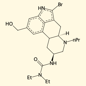 CCCN1C[C@@H](NC(=O)N(CC)CC)CC2c3cc(CO)cc4[nH]c(Br)c(c34)C[C@H]21